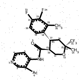 CC(=O)c1cnccc1NC(=O)[C@@H]1CO[C@@](C)(C(F)(F)F)C[C@H]1c1ccc(F)c(F)c1C